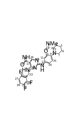 CNC(=O)[C@@H]1CCCCN1c1ccc(Nc2ncc(C(N)=O)c(NCc3c(F)ccc(F)c3F)n2)cc1